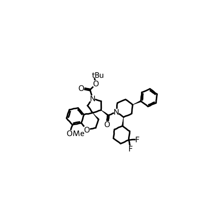 COc1cccc2c1OCC[C@]21CN(C(=O)OC(C)(C)C)C[C@H]1C(=O)N1CC[C@@H](c2ccccc2)C[C@H]1C1CCCC(F)(F)C1